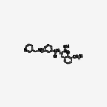 O=C(N[C@H]1Cc2cccc(C(=O)O)c2OB1O)c1cccc(CNCc2cccnc2)c1